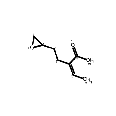 CC=C(CCC1CO1)C(=O)O